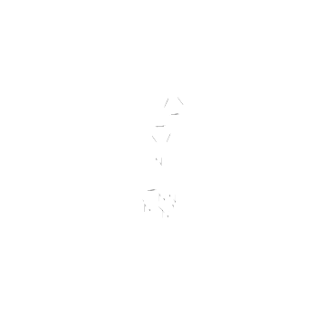 Cc1cc(C2CCCN(Cc3ccc(-c4ccccc4)cc3)C2)n2ncnc2n1